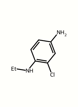 CCNc1ccc(N)cc1Cl